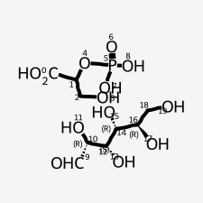 O=C(O)C(CO)OP(=O)(O)O.O=C[C@H](O)[C@@H](O)[C@H](O)[C@H](O)CO